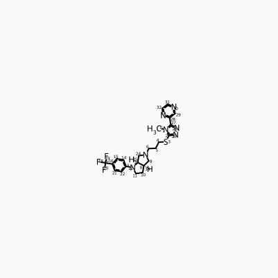 Cn1c(SCCCN2C[C@H]3CCN(c4ccc(C(F)(F)F)cc4)[C@H]3C2)nnc1-c1cnccn1